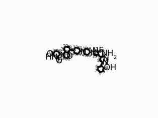 Nc1nnc(-c2ccccc2O)cc1-c1cn(C2CCN(C3CCC(c4cccc5c4OCCN5C4CCC(=O)NC4=O)CC3)CC2)nc1F